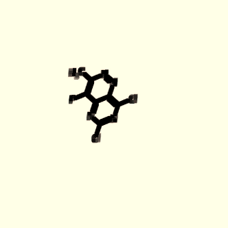 Cc1nnc2c(Cl)nc(Cl)nc2c1F